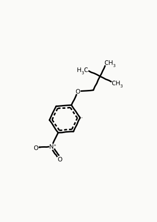 CC(C)(C)COc1[c]cc([N+](=O)[O-])cc1